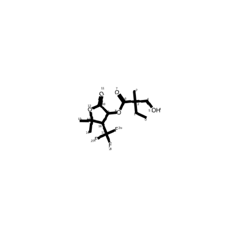 CCC(C)(CO)C(=O)OC1C(=O)OC(C)(C)C1C(F)(F)F